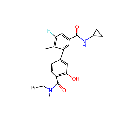 Cc1c(F)cc(C(=O)NC2CC2)cc1-c1ccc(C(=O)N(C)CC(C)C)c(O)c1